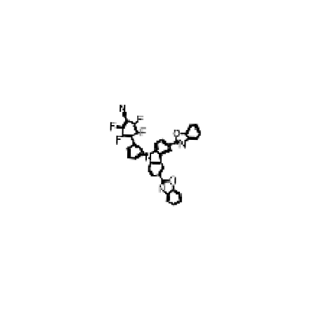 N#Cc1c(F)c(F)c(-c2cccc(-n3c4ccc(-c5nc6ccccc6o5)cc4c4cc(-c5nc6ccccc6o5)ccc43)c2)c(F)c1F